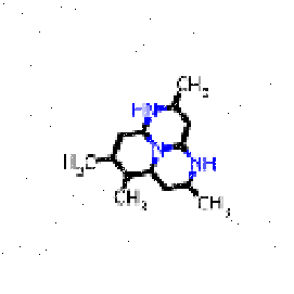 CC1CC2C(C)C(C)CC3NC(C)CC(N1)N32